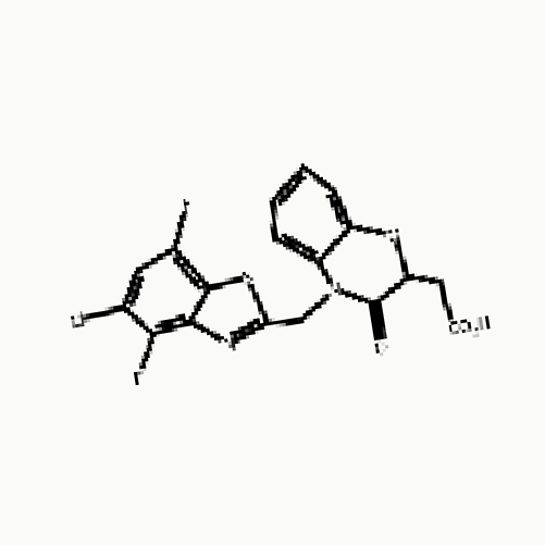 O=C(O)CC1Oc2ccccc2N(Cc2nc3c(F)c(Cl)cc(F)c3s2)C1=O